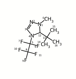 CN1N=CN(C(F)(F)C(F)(F)F)C1C(C)(C)C